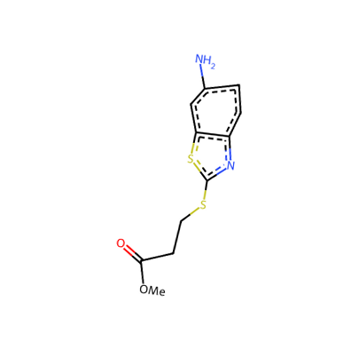 COC(=O)CCSc1nc2ccc(N)cc2s1